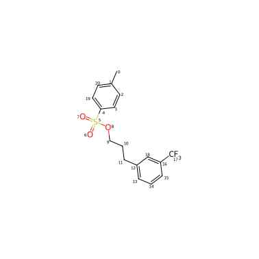 Cc1ccc(S(=O)(=O)OCCCc2cccc(C(F)(F)F)c2)cc1